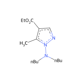 CCCCN(CCCC)n1ncc(C(=O)OCC)c1C